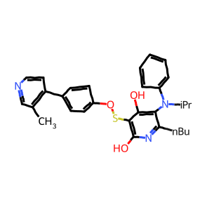 CCCCc1nc(O)c(SOc2ccc(-c3ccncc3C)cc2)c(O)c1N(c1ccccc1)C(C)C